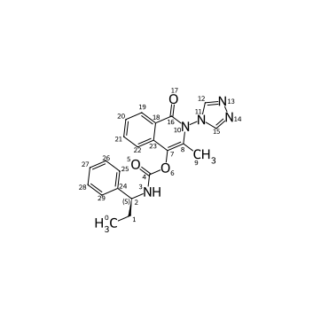 CC[C@H](NC(=O)Oc1c(C)n(-n2cnnc2)c(=O)c2ccccc12)c1ccccc1